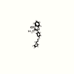 C[C@H]1[C@H](c2ccc(OCCCN3CCCC3)cc2)Oc2ccccc2[S+]1[O-]